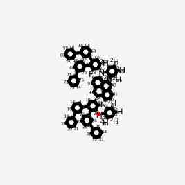 [2H]c1c([2H])c([2H])c(N(c2ccc(-c3cccc(-c4ccccc4)c3)c(-c3cccc(-c4ccccc4)c3)c2F)c2ccc3ccc4c(N(c5ccc(-c6cccc(-c7ccccc7)c6)c(-c6cccc(-c7ccccc7)c6)c5F)c5c([2H])c([2H])c([2H])c([2H])c5[2H])ccc5ccc2c3c54)c([2H])c1[2H]